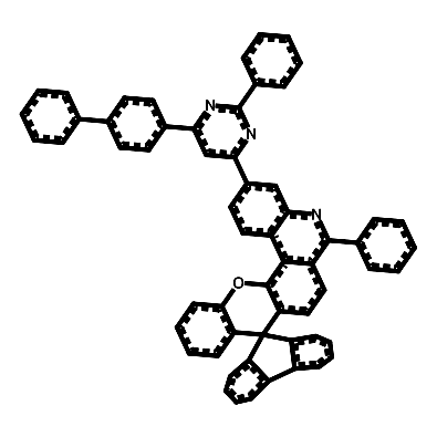 c1ccc(-c2ccc(-c3cc(-c4ccc5c(c4)nc(-c4ccccc4)c4ccc6c(c45)Oc4ccccc4C64c5ccccc5-c5ccccc54)nc(-c4ccccc4)n3)cc2)cc1